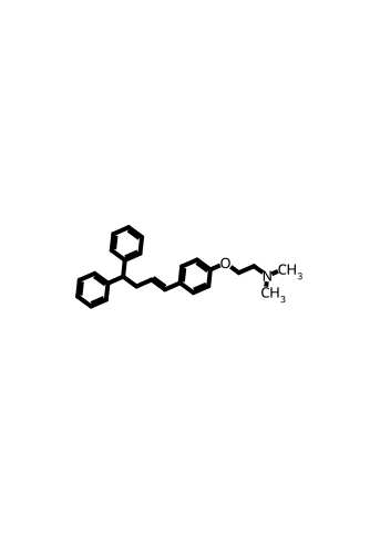 CN(C)CCOc1ccc(C=CCC(c2ccccc2)c2ccccc2)cc1